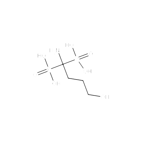 NC(CCCO)(P(=O)(O)O)P(=O)(O)O